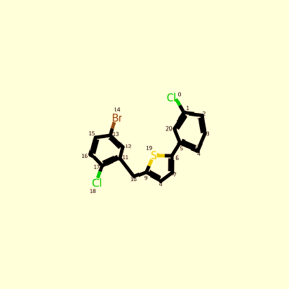 Clc1cccc(-c2ccc(Cc3cc(Br)ccc3Cl)s2)c1